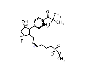 COS(=O)(=O)CCC/C=C\CC1C(c2ccc(C(=O)C(C)(C)C)cc2)[C@H](O)C[C@H]1F